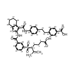 CC(C)N(CCCC(=O)O)S(=O)(=O)c1cccc(C(=O)Nc2sc3c(c2C(=O)Nc2ccc(CCc4ccc(C(=O)O)cc4)cc2)CCCC3)c1